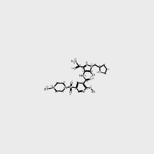 CCOc1ncc(S(=O)(=O)N2CCN(CC)CC2)cc1C(=O)Nc1c(C(N)=O)nn(CC2CCCO2)c1CC